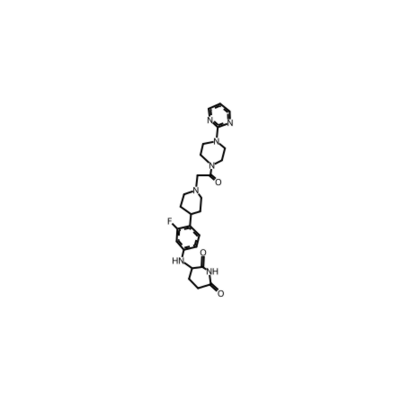 O=C1CCC(Nc2ccc(C3CCN(CC(=O)N4CCN(c5ncccn5)CC4)CC3)c(F)c2)C(=O)N1